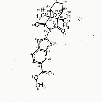 COC(=O)c1ccc2nc(N3C(=O)C4(C)[C@H]5CC[C@H](O5)[C@]4(C)C3=O)sc2c1